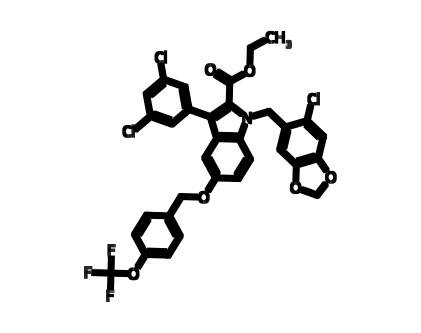 CCOC(=O)c1c(-c2cc(Cl)cc(Cl)c2)c2cc(OCc3ccc(OC(F)(F)F)cc3)ccc2n1Cc1cc2c(cc1Cl)OCO2